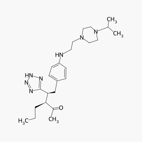 CCC[C@H](C(C)=O)[C@H](Cc1ccc(NCCN2CCN(C(C)C)CC2)cc1)c1nn[nH]n1